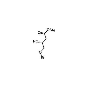 CCOC[C@H](O)CC(=O)OC